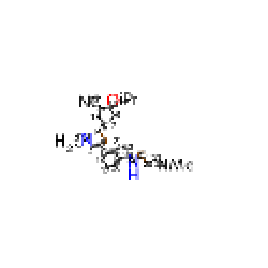 C=N/C=C(\SCc1ccc(OC(C)C)c(C#N)c1)c1cccc2c1CCC2NSCCNC